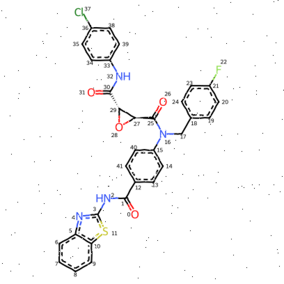 O=C(Nc1nc2ccccc2s1)c1ccc(N(Cc2ccc(F)cc2)C(=O)[C@H]2O[C@@H]2C(=O)Nc2ccc(Cl)cc2)cc1